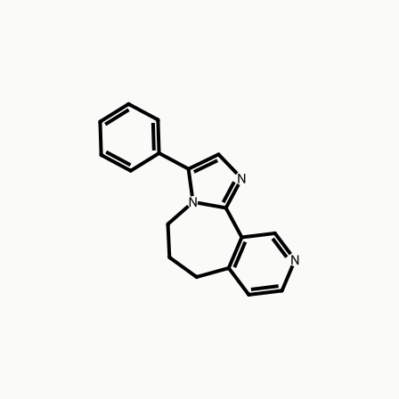 c1ccc(-c2cnc3n2CCCc2ccncc2-3)cc1